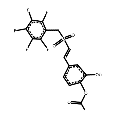 CC(=O)Oc1ccc(C=CS(=O)(=O)Cc2c(F)c(F)c(F)c(F)c2F)cc1O